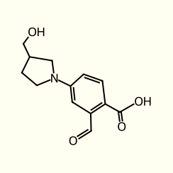 O=Cc1cc(N2CCC(CO)C2)ccc1C(=O)O